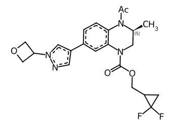 CC(=O)N1c2ccc(-c3cnn(C4COC4)c3)cc2N(C(=O)OCC2CC2(F)F)C[C@@H]1C